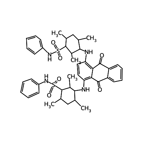 CC1CC(C)C(S(=O)(=O)Nc2ccccc2)C(C)C1Nc1ccc(NC2C(C)CC(C)C(S(=O)(=O)Nc3ccccc3)C2C)c2c1C(=O)c1ccccc1C2=O